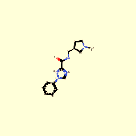 N#CN1CC[C@H](CNC(=O)c2ncn(-c3ccccc3)n2)C1